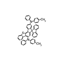 Cc1ccc(N(c2ccccc2)c2ccc3c(c2)C2(c4ccccc4-c4ccccc42)c2cc(N(c4ccccc4)c4ccc(C)cc4)c4c(sc5ccccc54)c2-3)cc1